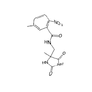 Cc1ccc([N+](=O)[O-])c(C(=O)NCC2(C)NC(=O)NC2=O)c1